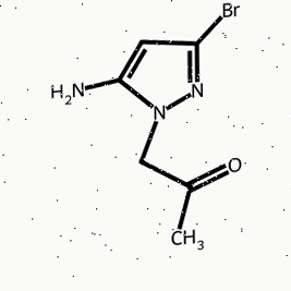 CC(=O)Cn1nc(Br)cc1N